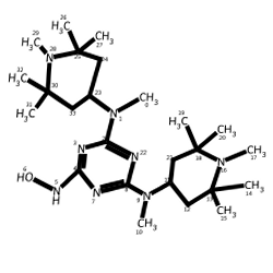 CN(c1nc(NO)nc(N(C)C2CC(C)(C)N(C)C(C)(C)C2)n1)C1CC(C)(C)N(C)C(C)(C)C1